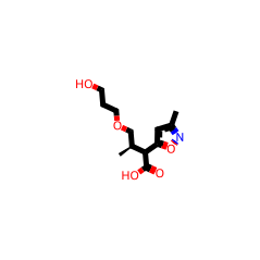 Cc1cc(C(C(=O)O)[C@@H](C)COCCCO)on1